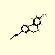 CCC#Cc1ccc2c(c1)CCc1cc(P)ccc1-2